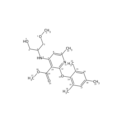 COCC(CO)Nc1cc(C)nc(Oc2c(C)cc(C)cc2C)c1C(=O)OC